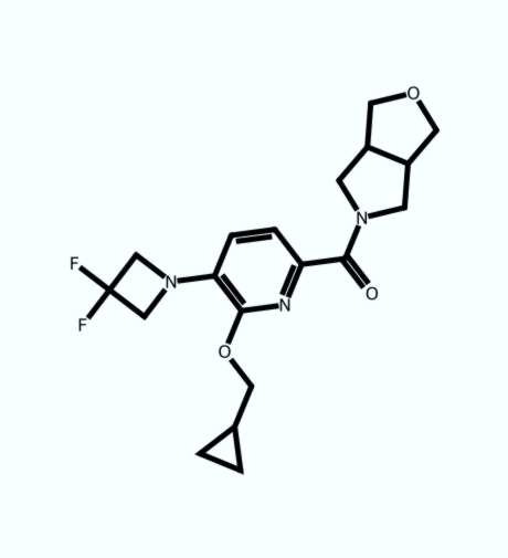 O=C(c1ccc(N2CC(F)(F)C2)c(OCC2CC2)n1)N1CC2COCC2C1